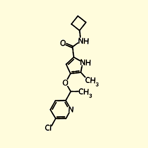 Cc1[nH]c(C(=O)NC2CCC2)cc1OC(C)c1ccc(Cl)cn1